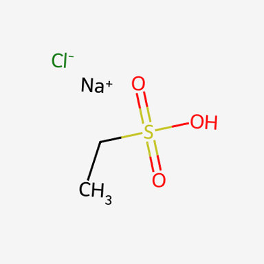 CCS(=O)(=O)O.[Cl-].[Na+]